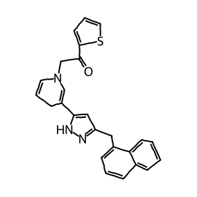 O=C(CN1C=CCC(c2cc(Cc3cccc4ccccc34)n[nH]2)=C1)c1cccs1